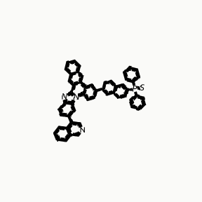 S=P(c1ccccc1)(c1ccccc1)c1ccc2cc(-c3ccc4c(c3)c3cc5ccccc5cc3c3nc5ccc(-c6cncc7ccccc67)cc5n43)ccc2c1